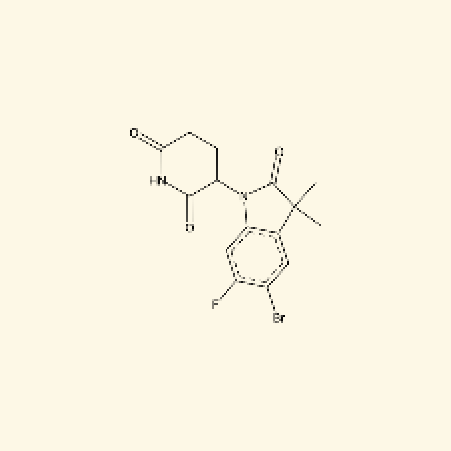 CC1(C)C(=O)N(C2CCC(=O)NC2=O)c2cc(F)c(Br)cc21